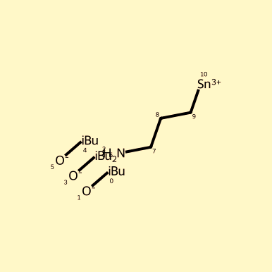 CCC(C)[O-].CCC(C)[O-].CCC(C)[O-].NCC[CH2][Sn+3]